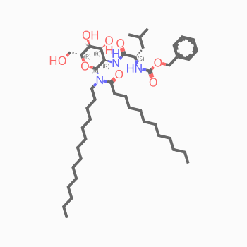 CCCCCCCCCCCCCCN(C(=O)CCCCCCCCCCC)[C@@H]1O[C@H](CO)[C@@H](O)[C@H](O)[C@H]1NC(=O)[C@H](CC(C)C)NC(=O)OCc1ccccc1